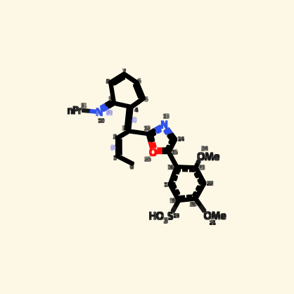 C\C=C/C(=C1/C=CC=C/C1=N\CCC)c1ncc(-c2cc(S(=O)(=O)O)c(OC)cc2OC)o1